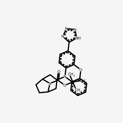 CC(C)(C)OC(=O)N1C2CCC1CC(N1c3ccccc3Oc3cc(-c4nnn[nH]4)ccc31)C2